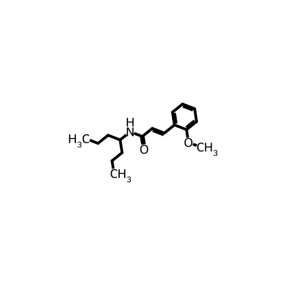 CCCC(CCC)NC(=O)C=Cc1ccccc1OC